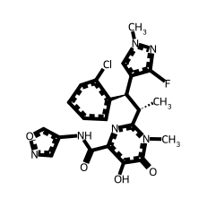 C[C@H](c1nc(C(=O)Nc2cnoc2)c(O)c(=O)n1C)[C@@H](c1ccccc1Cl)c1cn(C)nc1F